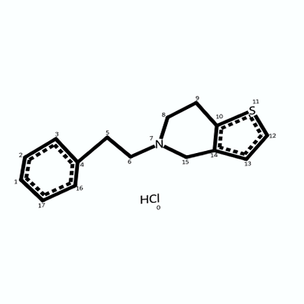 Cl.c1ccc(CCN2CCc3sccc3C2)cc1